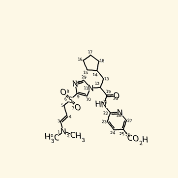 CN(C)C=CCS(=O)(=O)c1cn(C(CC2CCCC2)C(=O)Nc2ccc(C(=O)O)cn2)cn1